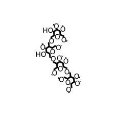 COCC1OC(COCC2C(COC)OC(COCC3C(COC)OC(COC)C(OC)C3OC)C(OC)C2OC)C(O)C(OC)C1COCC1OC(COC)C(OC)C(OC)C1O